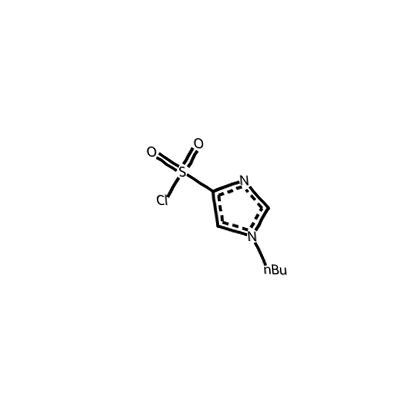 CCCCn1cnc(S(=O)(=O)Cl)c1